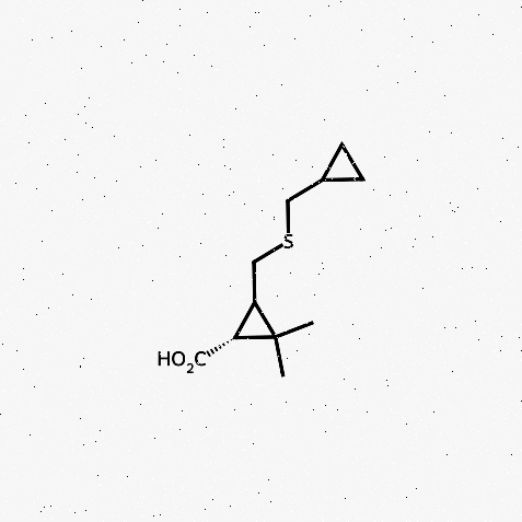 CC1(C)C(CSCC2CC2)[C@H]1C(=O)O